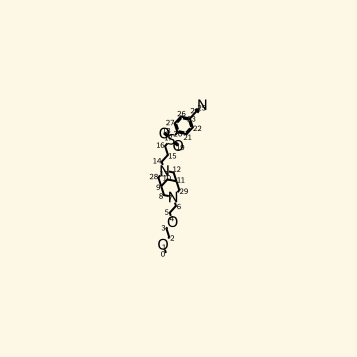 COCCOCCN1CC2CC(CN(CCCS(=O)(=O)c3ccc(C#N)cc3)C2)C1